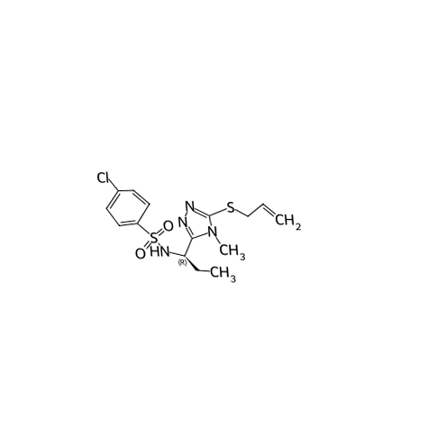 C=CCSc1nnc([C@@H](CC)NS(=O)(=O)c2ccc(Cl)cc2)n1C